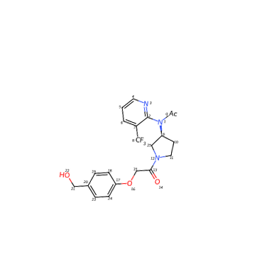 CC(=O)N(c1ncccc1C(F)(F)F)[C@H]1CCN(C(=O)COc2ccc(CO)cc2)C1